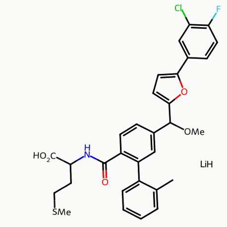 COC(c1ccc(C(=O)NC(CCSC)C(=O)O)c(-c2ccccc2C)c1)c1ccc(-c2ccc(F)c(Cl)c2)o1.[LiH]